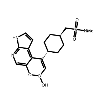 CNS(=O)(=O)C[C@H]1CC[C@H](C2=CB(O)Oc3cnc4[nH]ccc4c32)CC1